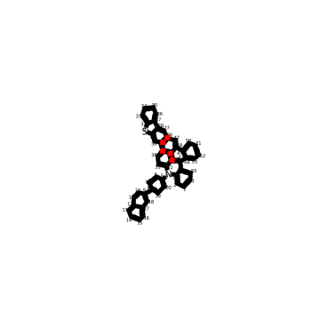 c1ccc(N(c2ccc(-c3ccc4ccccc4c3)cc2)c2ccc(-c3ccc4c(c3)sc3ccccc34)cc2)c(-c2cc3ccccc3c3ccccc23)c1